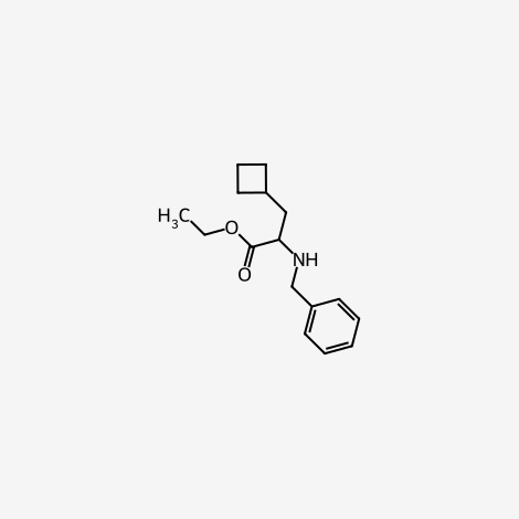 CCOC(=O)C(CC1CCC1)NCc1ccccc1